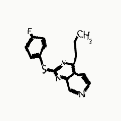 CCCc1nc(Sc2ccc(F)cc2)nc2cnccc12